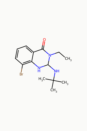 CCN1C(=O)c2cccc(Br)c2NC1NC(C)(C)C